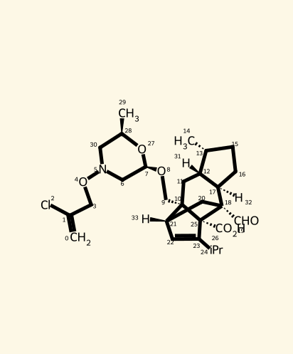 C=C(Cl)CON1C[C@H](OC[C@@]23C[C@@H]4[C@H](C)CC[C@H]4[C@]4(C=O)C[C@@H]2C=C(C(C)C)[C@@]34C(=O)O)O[C@H](C)C1